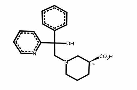 O=C(O)[C@H]1CCCN(CC(O)(c2ccccc2)c2ccccn2)C1